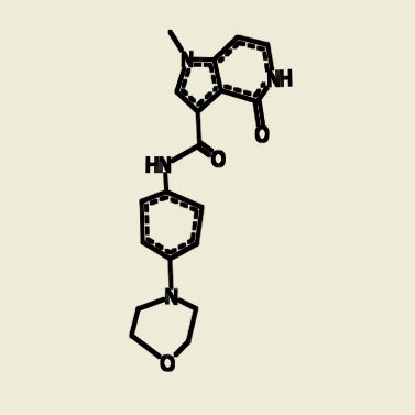 Cn1cc(C(=O)Nc2ccc(N3CCOCC3)cc2)c2c(=O)[nH]ccc21